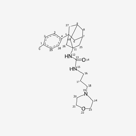 Cc1ccc(C23CC4CC(CC(NC(=O)NCCCN5CCOCC5)(C4)C2)C3)cc1